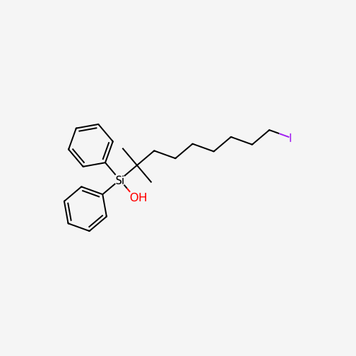 CC(C)(CCCCCCCI)[Si](O)(c1ccccc1)c1ccccc1